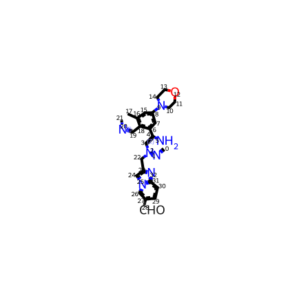 C=NN(/C=C(\N)c1cc(N2CCOCC2)cc(C)c1/C=N\C)Cc1cn2cc(C=O)ccc2n1